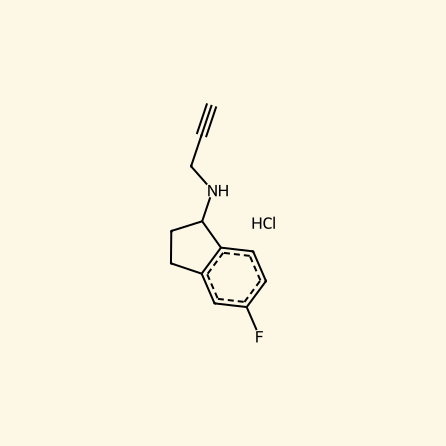 C#CCNC1CCc2cc(F)ccc21.Cl